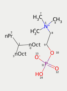 CCCCCCCCC(CCC)CCCCCCCC.C[N+](C)(C)CCOP(=O)([O-])O